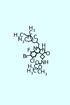 CCCC(C)CC(CC)CC(CC)Cc1nc2c(F)c(Br)c(Cl)cc2c2c1NC(=O)C21CC(NC(=O)OC(C)(C)C)C1